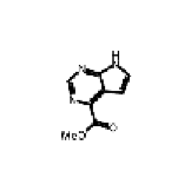 COC(=O)c1ncnc2[nH]ccc12